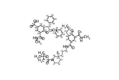 CNC(=O)c1cc(C(=O)NCCCC2(F)CCCN(C(=O)OC(C)(C)C)C2)cc2c1O[C@H](C)[C@H]2c1ccccc1.CNC(=O)c1cc(C(=O)O)cc2c1O[C@H](C)[C@H]2c1ccccc1